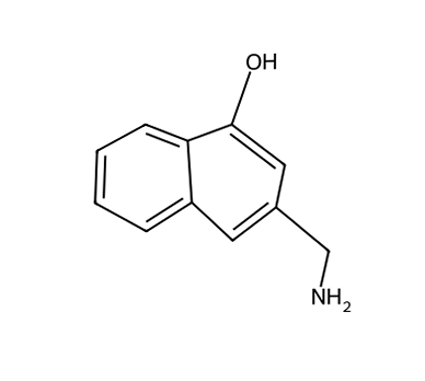 NCc1cc(O)c2ccccc2c1